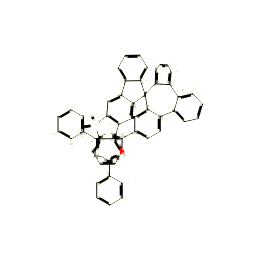 O=S1(=O)c2ccccc2-c2cc3c(cc21)-c1ccccc1C31c2ccccc2-c2ccccc2-c2ccc(-c3nc(-c4ccccc4)nc(-c4ccccc4)n3)cc21